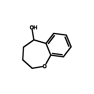 OC1CCCOc2ccccc21